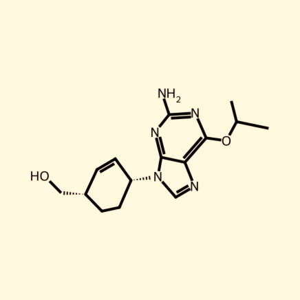 CC(C)Oc1nc(N)nc2c1ncn2[C@H]1C=C[C@@H](CO)CC1